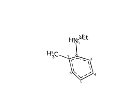 CCNc1ccccc1C